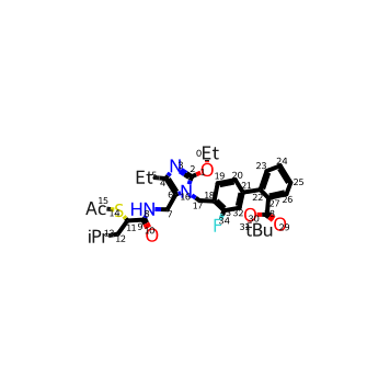 CCOc1nc(CC)c(CNC(=O)C(CC(C)C)SC(C)=O)n1Cc1ccc(-c2ccccc2C(=O)OC(C)(C)C)cc1F